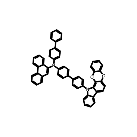 c1ccc(-c2ccc(N(c3ccc(-c4ccc(-n5c6ccccc6c6ccc7c(c65)Oc5ccccc5O7)cc4)cc3)c3cc4ccccc4c4ccccc34)cc2)cc1